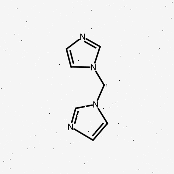 [C](n1ccnc1)n1ccnc1